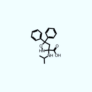 CC(C)NC1(C(=O)O)CC(c2ccccc2)(c2ccccc2)ON1